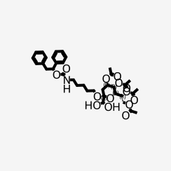 CC(=O)OC[C@@H](OC(C)=O)[C@H]1O[C@@](OCCCCCNC(=O)OC(Cc2ccccc2)c2ccccc2)(C(O)O)C[C@@H](OC(C)=O)[C@H]1OC(C)=O